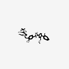 COCc1cc(-c2nc(-c3ccc(CN(C)CC(=O)OC(C)(C)C)c(Cl)c3)no2)ccc1-c1ccccc1C